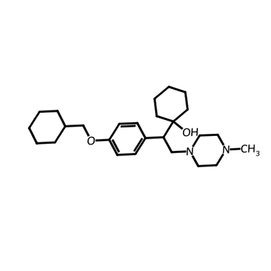 CN1CCN(CC(c2ccc(OCC3CCCCC3)cc2)C2(O)CCCCC2)CC1